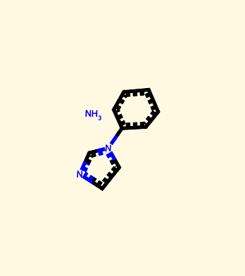 N.c1ccc(-n2ccnc2)cc1